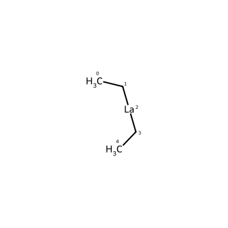 C[CH2][La][CH2]C